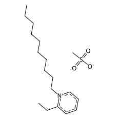 CCCCCCCCCC[n+]1ccccc1CC.CS(=O)(=O)[O-]